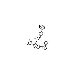 Cc1cc(C)cc(-c2nc3ccc(C(C)(C)C(=O)N4C5CCC4CC5)cn3c2CCNCc2ccc(-c3cccnc3)cc2)c1